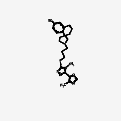 Cc1ncoc1-c1nnc(SCCCN2CCC3(CCCc4cc(Br)ccc43)C2)n1C